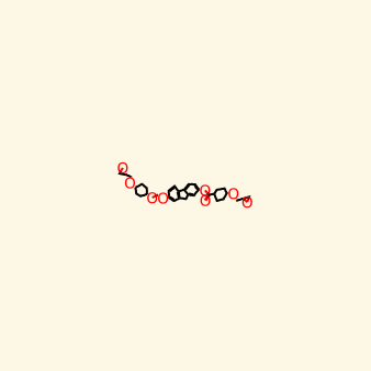 O=C(Oc1ccc2c(c1)Cc1cc(OCOC3CCC(OCC4CO4)CC3)ccc1-2)C1CCC(OCC2CO2)CC1